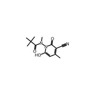 Cc1cc(O)n(N(C)C(=O)C(C)(C)C)c(=O)c1C#N